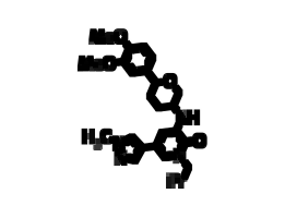 COc1ccc(C2CCC(Nc3cc(-c4cnn(C)c4)cn(CC(C)C)c3=O)CO2)cc1OC